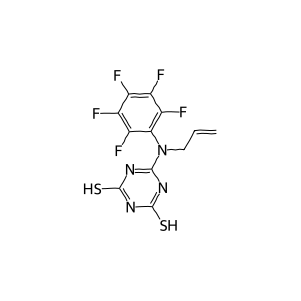 C=CCN(c1nc(S)nc(S)n1)c1c(F)c(F)c(F)c(F)c1F